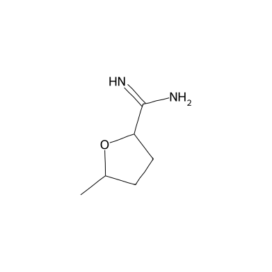 CC1CCC(C(=N)N)O1